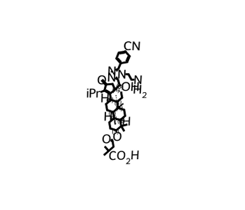 CC(C)C1=C2[C@H]3CC[C@@H]4[C@@]5(C)CC[C@H](OC(=O)CC(C)(C)C(=O)O)C(C)(C)[C@@H]5CC[C@@]4(C)[C@]3(C)CC[C@@]2([C@H](O)c2nnc(-c3ccc(C#N)cc3)n2CCN)CC1=O